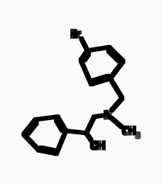 CN(Cc1ccc(Br)cc1)CC(O)c1ccccc1